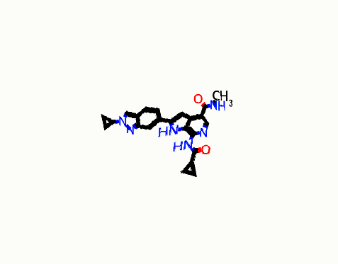 CNC(=O)c1cnc(NC(=O)C2CC2)c2[nH]c(-c3ccc4cn(C5CC5)nc4c3)cc12